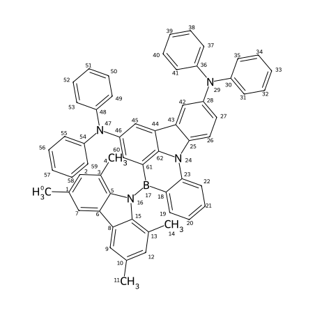 Cc1cc(C)c2c(c1)c1cc(C)cc(C)c1n2B1c2ccccc2-n2c3ccc(N(c4ccccc4)c4ccccc4)cc3c3cc(N(c4ccccc4)c4ccccc4)cc1c32